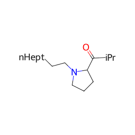 CCCCCCCCCN1CCCC1C(=O)C(C)C